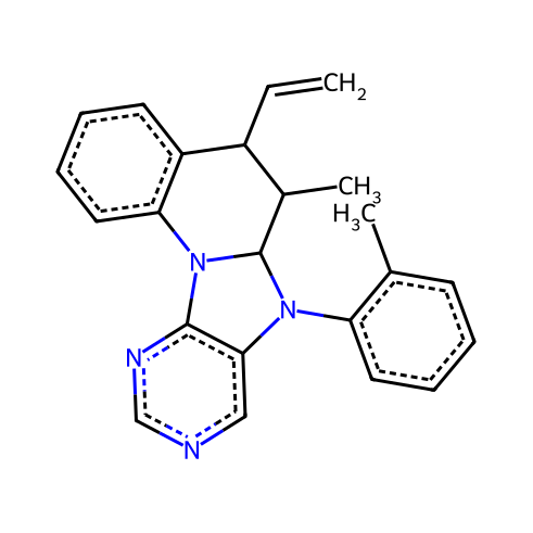 C=CC1c2ccccc2N2c3ncncc3N(c3ccccc3C)C2C1C